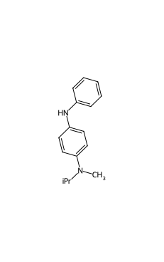 CC(C)N(C)c1ccc(Nc2ccccc2)cc1